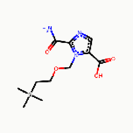 C[Si](C)(C)CCOCn1c(C(=O)O)cnc1C(N)=O